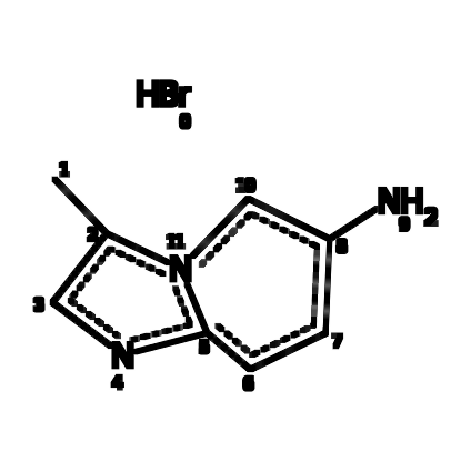 Br.Cc1cnc2ccc(N)cn12